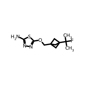 CC(C)(F)C12CC(COc3nnc(N)s3)(C1)C2